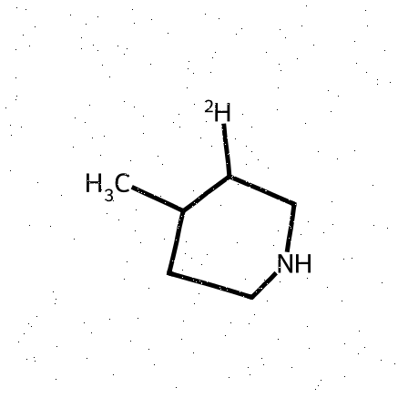 [2H]C1CNCCC1C